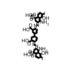 Nc1c(N=Nc2ccc(-c3ccc(N=Nc4cc(S(=O)(=O)O)c5ccc(I)c(O)c5c4N)c(C(=O)O)c3)cc2C(=O)O)cc(S(=O)(=O)O)c2ccc(I)c(O)c12